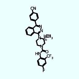 C[C@H]1CN(C(=O)Nc2ccc(F)cc2C(F)(F)F)CCN1c1nnc(-c2ccc(C#N)cc2)c2ccccc12.Cl